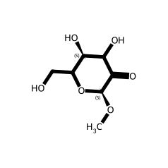 CO[C@H]1OC(CO)[C@@H](O)C(O)C1=O